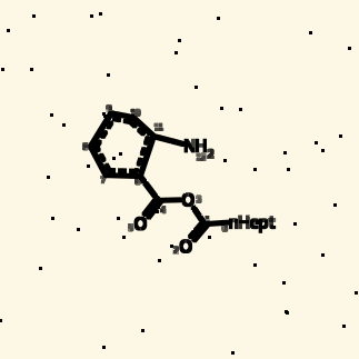 CCCCCCCC(=O)OC(=O)c1ccccc1N